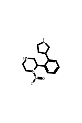 O=[N+]([O-])N1CCNCC1c1ccccc1C1CCNC1